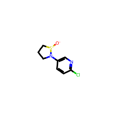 [O-][S+]1CCCN1c1ccc(Cl)nc1